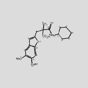 COc1cc2cc(CC(C)(C(=O)O)C(=O)NC3CCCCC3)sc2cc1OC